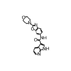 O=C(Nc1ccc2nc(N3CCOCC3)oc2c1)c1c[nH]c2ncccc12